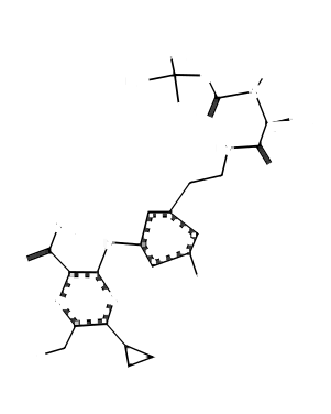 CCc1nc(C(N)=O)c(Nc2cc(F)cc(CCNC(=O)[C@H](C)N(C)C(=O)OC(C)(C)C)c2)nc1C1CC1